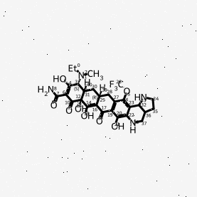 CCN(C)[C@@H]1C(O)=C(C(N)=O)C(=O)[C@@]2(O)C(O)=C3C(=O)c4c(O)c5c(c(OC(F)(F)F)c4C[C@H]3C[C@@H]12)C1NCCC1CN5